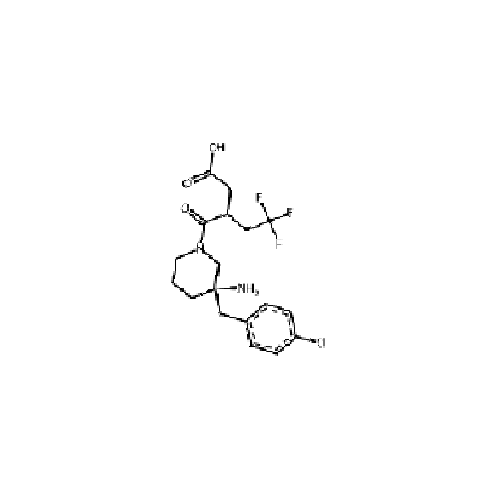 N[C@@]1(Cc2ccc(Cl)cc2)CCCN(C(=O)C(CC(=O)O)CC(F)(F)F)C1